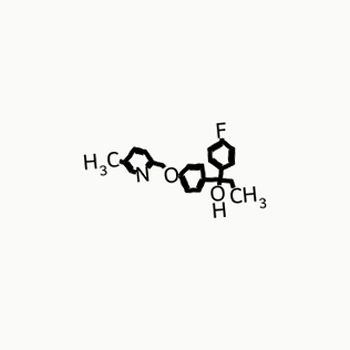 CCC(O)(c1ccc(F)cc1)c1ccc(OCc2ccc(C)cn2)cc1